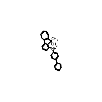 CC1(C)C2=C(CC=CC=C2)c2cccc(Nc3ccc(-c4ccccc4)cc3)c21